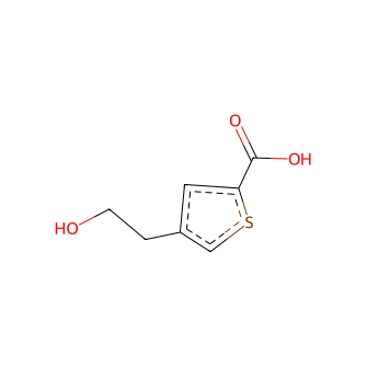 O=C(O)c1cc(CCO)cs1